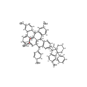 CC(C)(C)c1ccc(N2c3cc(N4c5ccc(C(C)(C)C)cc5C5(c6ccccc6)CCCCC45C)ccc3B3c4ccc(C(C)(C)C)cc4N(c4ccc(C(C)(C)C)cc4-c4ccccc4)c4cc(C(C)(C)C)cc2c43)cc1